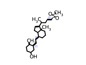 C=C1CCC(O)C/C1=C/C=C1\CCCC2(C)C(C(C)C/C=C/S(C)(=O)=O)=CCC12